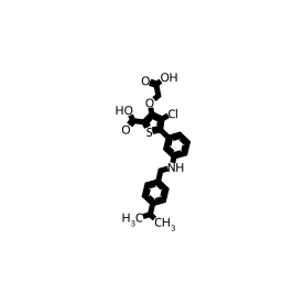 CC(C)c1ccc(CNc2cccc(-c3sc(C(=O)O)c(OCC(=O)O)c3Cl)c2)cc1